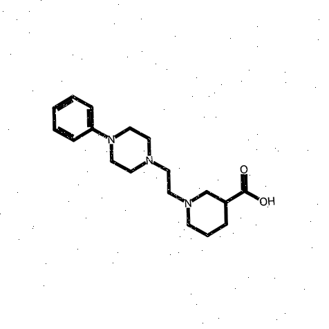 O=C(O)C1CCCN(CCN2CCN(c3ccccc3)CC2)C1